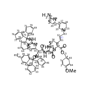 COc1ccc(COC(=O)C2=C(/C=C/C[n+]3cccc(-c4csc(N)n4)c3)CS[C@H]3[C@H](NC(=O)C(=NOC(c4ccccc4)(c4ccccc4)c4ccccc4)c4csc(NC(c5ccccc5)(c5ccccc5)c5ccccc5)n4)C(=O)N23)cc1.[I-]